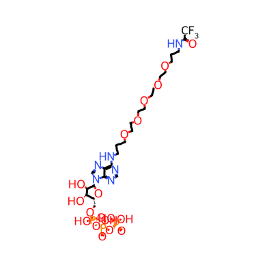 O=C(NCCCOCCOCCOCCOCCOCCCNc1ncnc2c1ncn2[C@@H]1O[C@H](COP(=O)(O)OP(=O)(O)OP(=O)(O)O)[C@H](O)C1O)C(F)(F)F